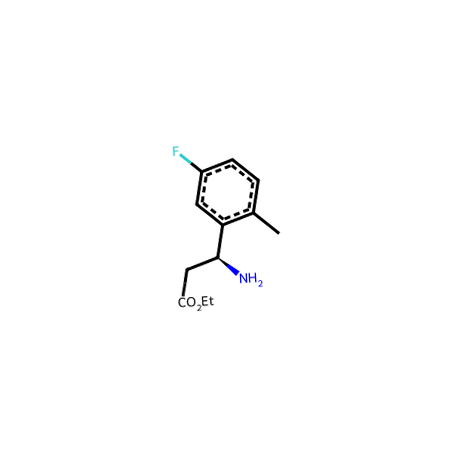 CCOC(=O)C[C@H](N)c1cc(F)ccc1C